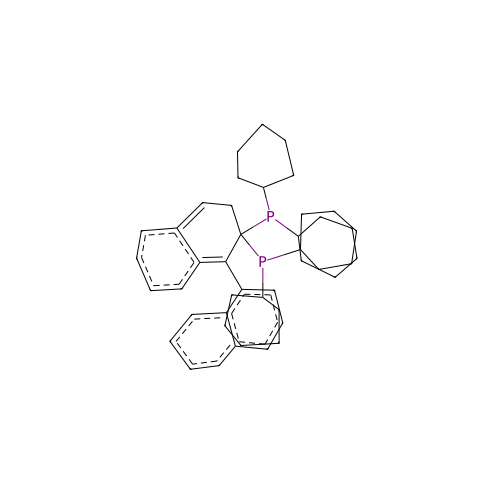 C1=c2ccccc2=C(c2cccc3ccccc23)C(P(C2CCCCC2)C2CCCCC2)(P(C2CCCCC2)C2CCCCC2)C1